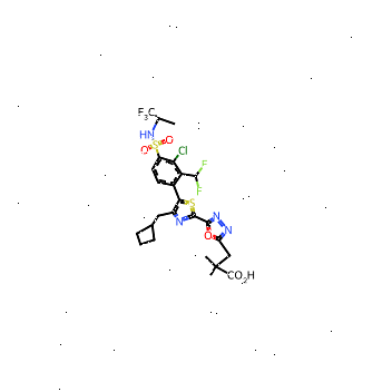 C[C@H](NS(=O)(=O)c1ccc(-c2sc(-c3nnc(CC(C)(C)C(=O)O)o3)nc2CC2CCC2)c(C(F)F)c1Cl)C(F)(F)F